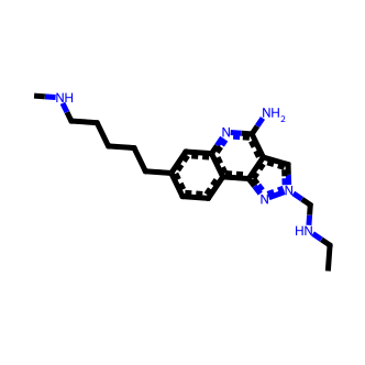 CCNCn1cc2c(N)nc3cc(CCCCCNC)ccc3c2n1